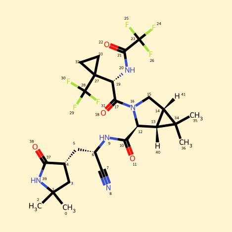 CC1(C)C[C@@H](C[C@@H](C#N)NC(=O)[C@@H]2[C@@H]3[C@H](CN2C(=O)[C@@H](NC(=O)C(F)(F)F)C2(C(F)(F)F)CC2)C3(C)C)C(=O)N1